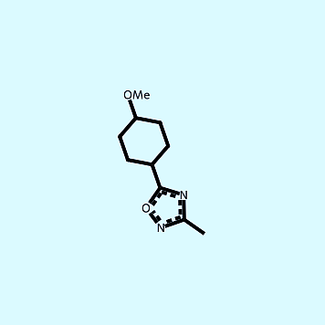 COC1CCC(c2nc(C)no2)CC1